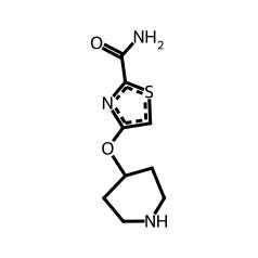 NC(=O)c1nc(OC2CCNCC2)cs1